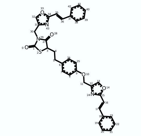 O=C1SC(CCc2ccc(OCc3coc(C=Cc4ccccc4)n3)cc2)C(=O)N1Cc1coc(C=Cc2ccccc2)n1